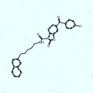 O=C(c1ccc(Cl)cc1)c1ccc2c(c1)oc(=O)n2C(=O)NCCCCCc1ccc2ccccc2c1